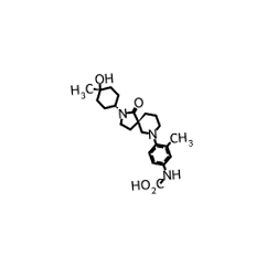 Cc1cc(NC(=O)O)ccc1N1CCC[C@]2(CCN([C@H]3CC[C@@](C)(O)CC3)C2=O)C1